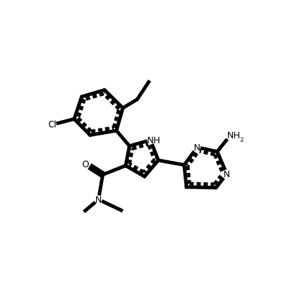 CCc1ccc(Cl)cc1-c1[nH]c(-c2ccnc(N)n2)cc1C(=O)N(C)C